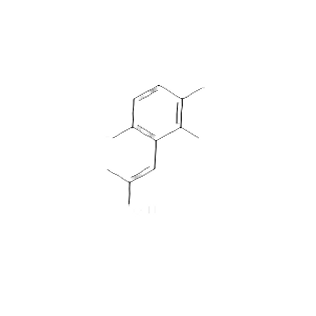 CC(=Cc1c(F)ccc(F)c1Cl)C(=O)O